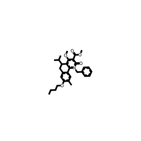 CCCCOc1cc2c(cc1C)-c1c(c(OC)c(C(=O)OC)c(=O)n1Cc1ccccc1)C(C(C)C)C2